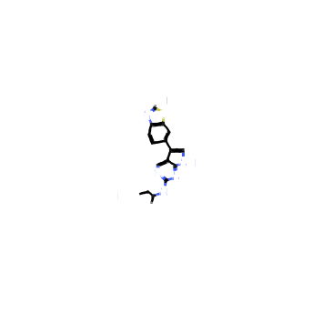 CCC(C)Nc1ncc2c(-c3ccc4nc(C)sc4c3)c[nH]c2n1